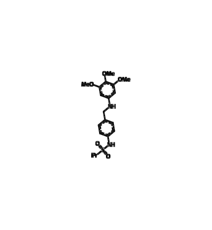 COc1cc(NCc2ccc(NS(=O)(=O)C(C)C)cc2)cc(OC)c1OC